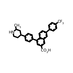 CC1CC(c2ccc(-c3cc(C(=O)O)cc4cc(-c5ccc(C(F)(F)F)cc5)ccc34)cc2)CCN1